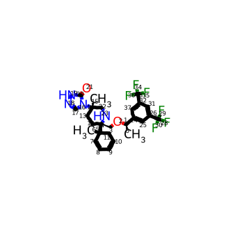 C[C@@H](OC[C@@]1(C2(C)C=CC=CC2)CC[C@](C)(n2cn[nH]c2=O)CN1)c1cc(C(F)(F)F)cc(C(F)(F)F)c1